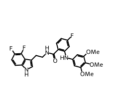 COc1cc(Nc2cc(F)ccc2C(=O)NCCc2c[nH]c3ccc(F)c(F)c23)cc(OC)c1OC